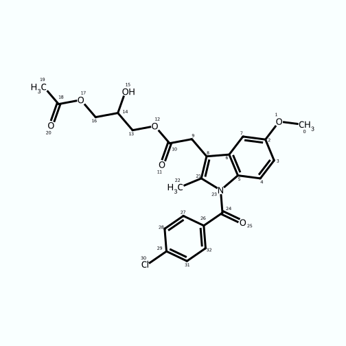 COc1ccc2c(c1)c(CC(=O)OCC(O)COC(C)=O)c(C)n2C(=O)c1ccc(Cl)cc1